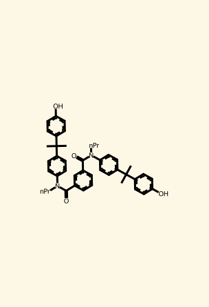 CCCN(C(=O)c1cccc(C(=O)N(CCC)c2ccc(C(C)(C)c3ccc(O)cc3)cc2)c1)c1ccc(C(C)(C)c2ccc(O)cc2)cc1